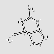 Nc1nc2[nH]cnc2c(=O)[nH]1.S